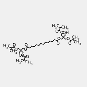 C=C(C)C(=O)OCC(CO)(COC(=O)CCCCCCCCCCCCC(=O)OCC(CO)(COC(=O)C(=C)C)COC(=O)C(=C)C)COC(=O)C(=C)C